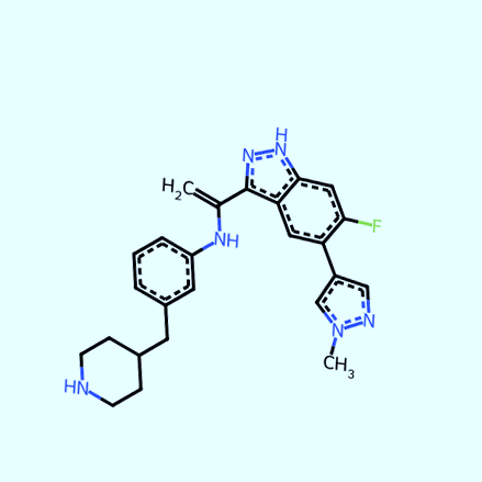 C=C(Nc1cccc(CC2CCNCC2)c1)c1n[nH]c2cc(F)c(-c3cnn(C)c3)cc12